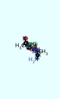 Cc1cc(-c2ccco2)cc(C)c1CN1CCC(O)(Cn2cnc3c(-c4ccc(CN)cc4)n(C)nc3c2=O)CC1.Cl.Cl